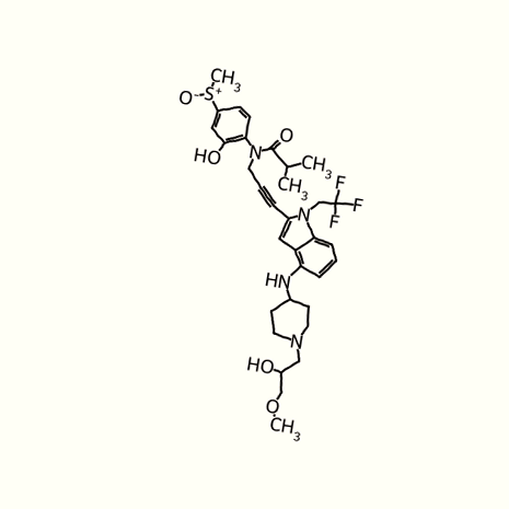 COCC(O)CN1CCC(Nc2cccc3c2cc(C#CCN(C(=O)C(C)C)c2ccc([S+](C)[O-])cc2O)n3CC(F)(F)F)CC1